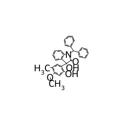 COc1cc(O)c(C2(O)C(=O)N(C(c3ccccc3)c3ccccc3)c3ccccc32)cc1C